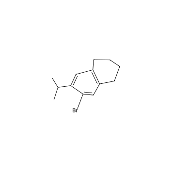 CC(C)c1cc2c(cc1Br)CCCC2